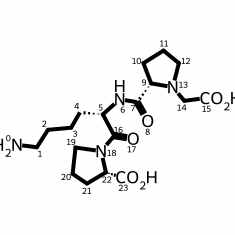 NCCCC[C@H](NC(=O)[C@@H]1CCCN1CC(=O)O)C(=O)N1CCC[C@H]1C(=O)O